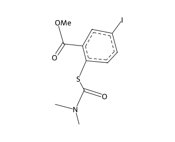 COC(=O)c1cc(I)ccc1SC(=O)N(C)C